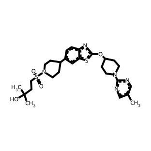 Cc1cnc(N2CCC(Oc3nc4ccc(C5CCN(S(=O)(=O)CCC(C)(C)O)CC5)cc4s3)CC2)nc1